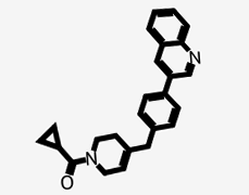 O=C(C1CC1)N1CC=C(Cc2ccc(-c3cnc4ccccc4c3)cc2)CC1